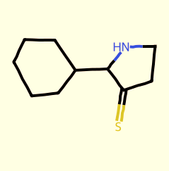 S=C1CCNC1C1CCCCC1